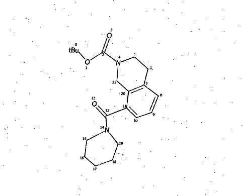 CC(C)(C)OC(=O)N1CCc2cccc(C(=O)N3CCCCC3)c2C1